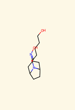 OCCCCCN1C2CCC1CC(=NO)C2